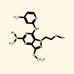 Cc1ccnc(Nc2nc(N(C)C(C)C)nc3c(OC(=O)O)nn(CCOC(C)C)c23)c1